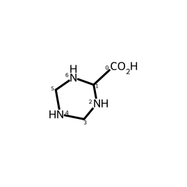 O=C(O)C1NCNCN1